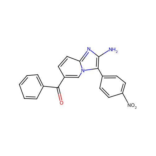 Nc1nc2ccc(C(=O)c3ccccc3)cn2c1-c1ccc([N+](=O)[O-])cc1